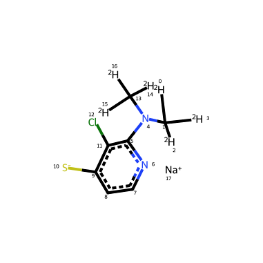 [2H]C([2H])([2H])N(c1nccc([S-])c1Cl)C([2H])([2H])[2H].[Na+]